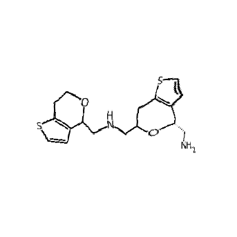 NC[C@@H]1OC(CNCC2OCCc3sccc32)Cc2sccc21